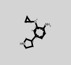 Nc1ccc(C2CCNC2)cc1OC1CC1